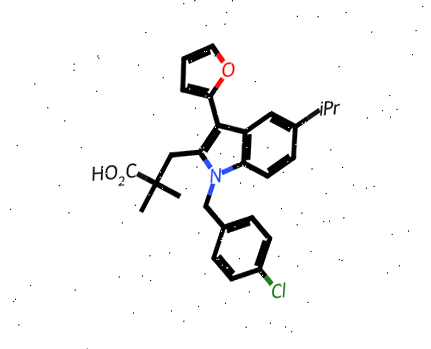 CC(C)c1ccc2c(c1)c(-c1ccco1)c(CC(C)(C)C(=O)O)n2Cc1ccc(Cl)cc1